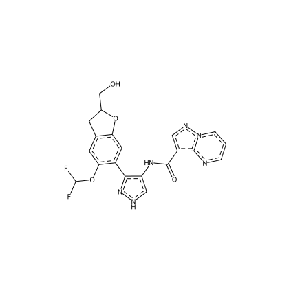 O=C(Nc1c[nH]nc1-c1cc2c(cc1OC(F)F)CC(CO)O2)c1cnn2cccnc12